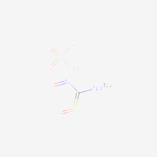 NC(N=O)=S=O.O=S(=O)([O-])S.[Na+]